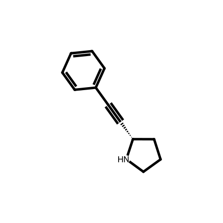 C(#C[C@@H]1CCCN1)c1ccccc1